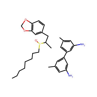 CCCCCCCC[S+]([O-])C(C)Cc1ccc2c(c1)OCO2.Cc1cc(N)cc(-c2cc(C)cc(N)c2)c1